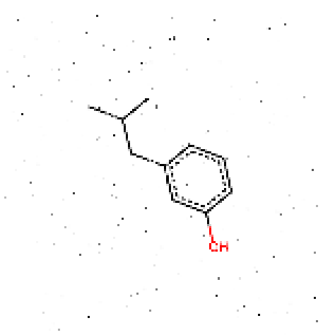 CC(C)Cc1c[c]cc(O)c1